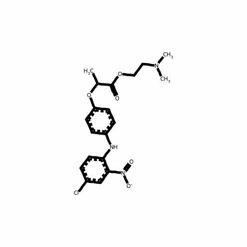 CC(Oc1ccc(Nc2ccc(Cl)cc2[N+](=O)[O-])cc1)C(=O)OCCN(C)C